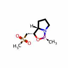 C[P@@]1O[C@H](CS(C)(=O)=O)[C@@H]2CCCN21